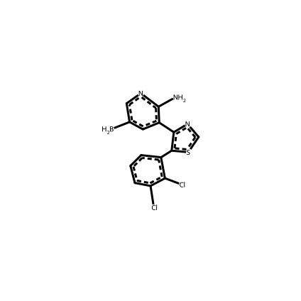 Bc1cnc(N)c(-c2ncsc2-c2cccc(Cl)c2Cl)c1